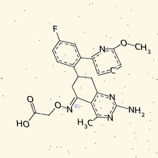 COc1cccc(-c2cc(F)ccc2C2C/C(=N\OCC(=O)O)c3c(C)nc(N)nc3C2)n1